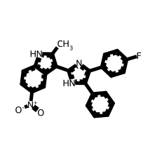 Cc1[nH]c2ccc([N+](=O)[O-])cc2c1-c1nc(-c2ccc(F)cc2)c(-c2ccccc2)[nH]1